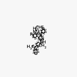 C=CC(=O)Nc1cc(-c2nc(NC(=C)/C=C\C(F)=C(/C)N3CCOCC3)ncc2Nc2cccc(F)c2)ccc1F